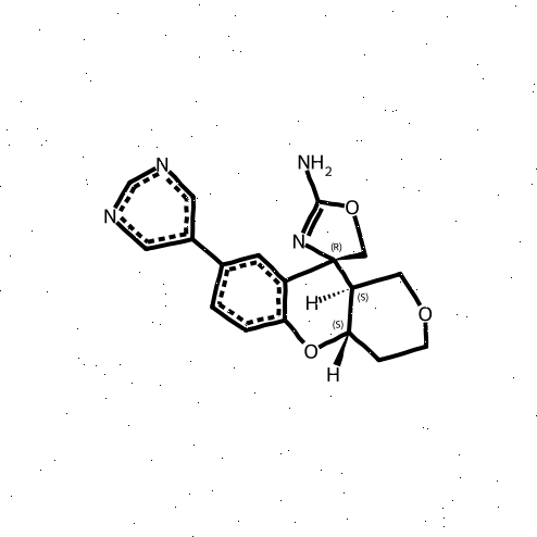 NC1=N[C@@]2(CO1)c1cc(-c3cncnc3)ccc1O[C@H]1CCOC[C@@H]12